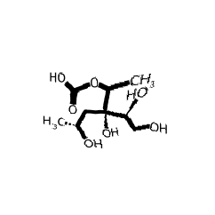 CC(OC(=O)O)[C@@](O)(C[C@@H](C)O)[C@@H](O)CO